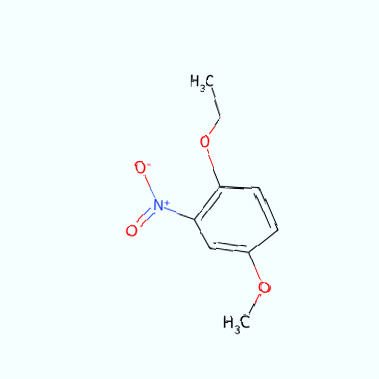 CCOc1ccc(OC)cc1[N+](=O)[O-]